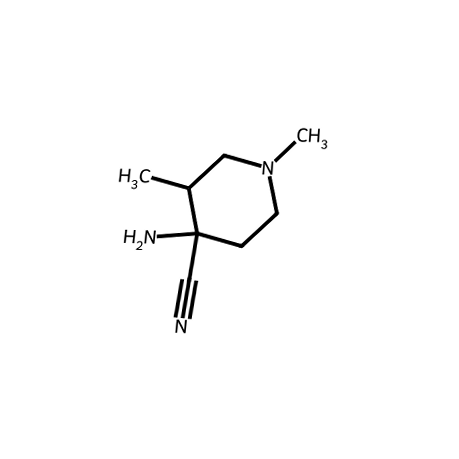 CC1CN(C)CCC1(N)C#N